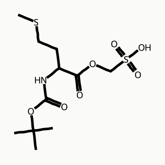 CSCCC(NC(=O)OC(C)(C)C)C(=O)OCS(=O)(=O)O